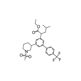 CCOC(=O)C(CC(C)C)c1cc(-c2ccc(C(F)(F)F)cc2)cc(C2CCCN(S(C)(=O)=O)C2)c1